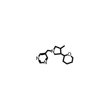 CC1CN(Cc2cncnc2)CC1C1CCCCO1